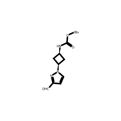 CC(C)(C)OC(=O)N[C@H]1C[C@@H](n2ccc(C=O)n2)C1